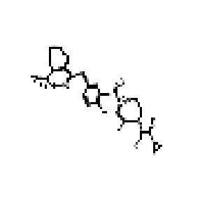 C[C@@H]1CN(C(=O)c2cc(Cc3n[nH]c(=O)c4c3CCCC4)ccc2F)CCN1C(=O)C(=O)C1CC1